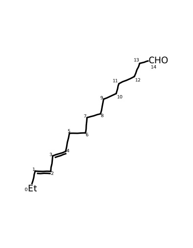 CC/C=C/C=C/CCCCCCCCCC=O